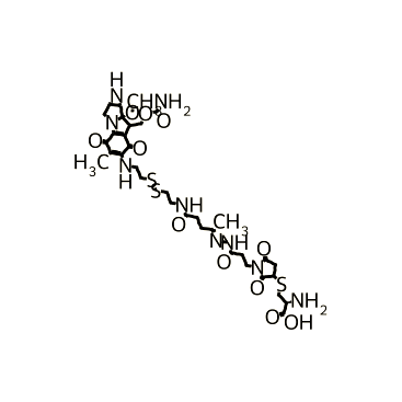 CO[C@@]12C(COC(N)=O)C3=C(C(=O)C(C)=C(NCCSSCCNC(=O)CC/C(C)=N/NC(=O)CCN4C(=O)CC(SC[C@@H](N)C(=O)O)C4=O)C3=O)N1CC1NC12